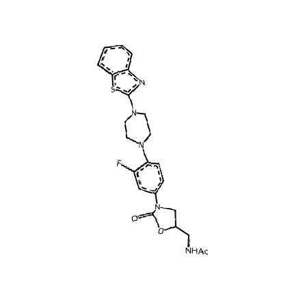 CC(=O)NCC1CN(c2ccc(N3CCN(c4nc5ccccc5s4)CC3)c(F)c2)C(=O)O1